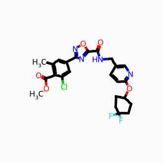 COC(=O)c1c(C)cc(-c2noc(C(=O)NCc3ccc(OC4CCC(F)(F)CC4)nc3)n2)cc1Cl